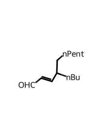 CCCCCCC(/C=C/C=O)CCCC